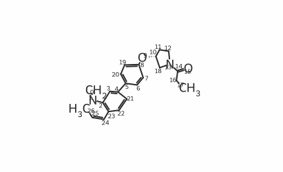 C=Nc1cc(-c2ccc(O[C@@H]3CCN(C(=O)CC)C3)cc2)ccc1/C=C\C